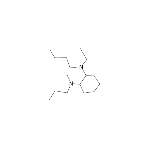 CCCCN(CC)C1CCCCC1N(CC)CCC